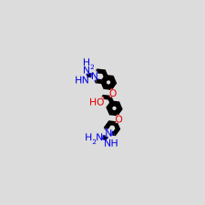 N=C(N)N1CCC(Oc2ccc(C(CO)Oc3ccc4c(c3)CN(C(=N)N)CC4)cc2)CC1